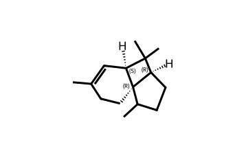 CC1=C[C@H]2C(C)(C)[C@H]3CCC(C)[C@]32CC1